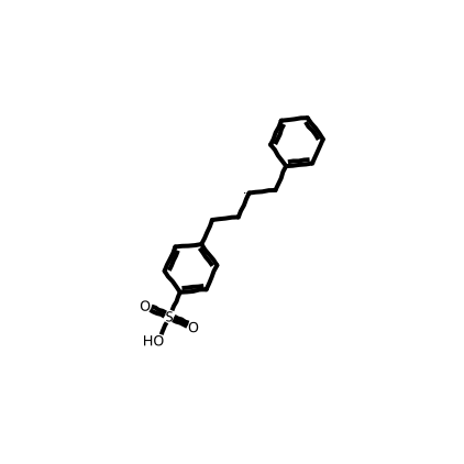 O=S(=O)(O)c1ccc(CC[CH]Cc2ccccc2)cc1